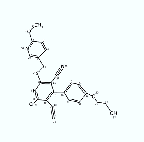 COc1ccc(CSc2nc(Cl)c(C#N)c(-c3ccc(OCCO)cc3)c2C#N)cn1